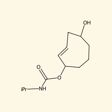 CC(C)NC(=O)OC1/C=C/CC(O)CCC1